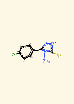 Nn1c(S)nnc1-c1ccc(Cl)cc1